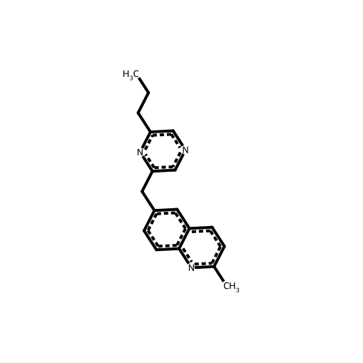 CCCc1cncc(Cc2ccc3nc(C)ccc3c2)n1